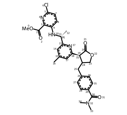 COC(=O)c1nc(Cl)ccc1N[C@H](C)c1cc(C)cc([C@H]2C(=O)OCC2Cc2ccc(C(=O)N(C)C)cc2)n1